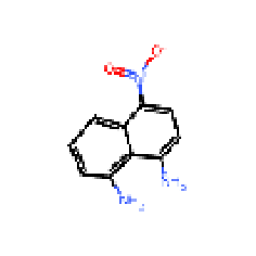 Nc1cccc2c([N+](=O)[O-])ccc(N)c12